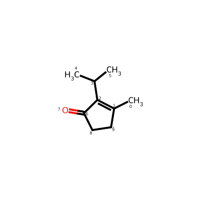 CC1=C(C(C)C)C(=O)C[CH]1